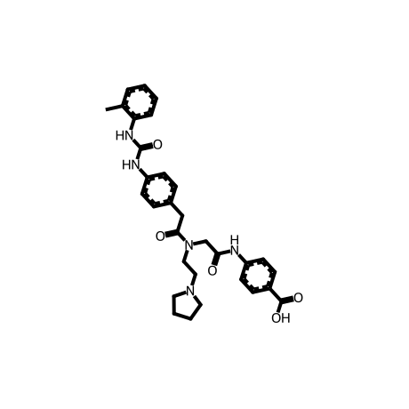 Cc1ccccc1NC(=O)Nc1ccc(CC(=O)N(CCN2CCCC2)CC(=O)Nc2ccc(C(=O)O)cc2)cc1